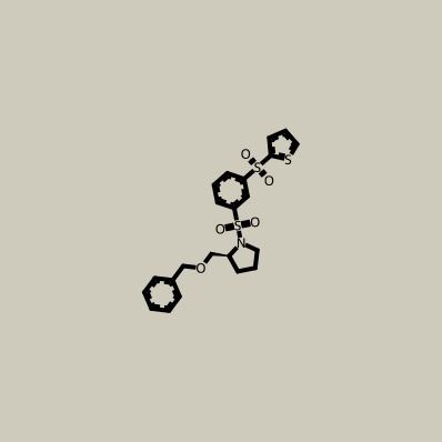 O=S(=O)(c1cccc(S(=O)(=O)N2CCC[C@H]2COCc2ccccc2)c1)c1cccs1